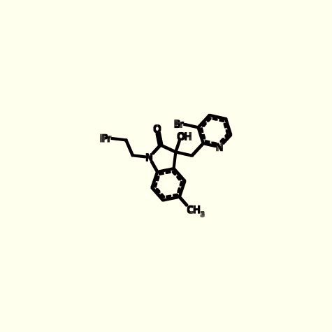 Cc1ccc2c(c1)C(O)(Cc1ncccc1Br)C(=O)N2CCC(C)C